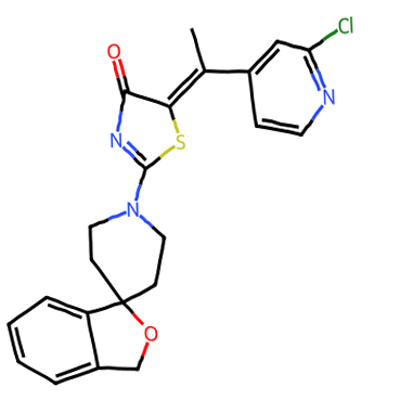 C/C(=C1/SC(N2CCC3(CC2)OCc2ccccc23)=NC1=O)c1ccnc(Cl)c1